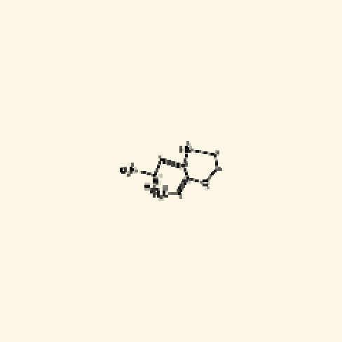 C=C(/C=C1/NCCO/C1=C/C)[N+](=O)[O-]